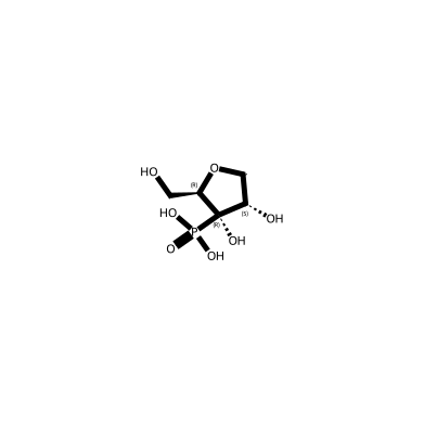 O=P(O)(O)[C@]1(O)[C@@H](O)[CH]O[C@@H]1CO